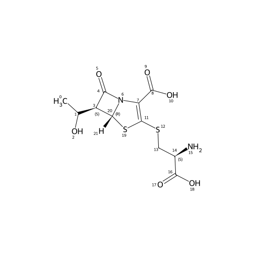 CC(O)[C@H]1C(=O)N2C(C(=O)O)=C(SC[C@@H](N)C(=O)O)S[C@H]12